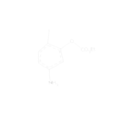 CCOC(=O)Oc1cc(N)ccc1C